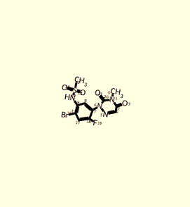 Cn1c(=O)cnn(-c2cc(NS(C)(=O)=O)c(Br)cc2F)c1=O